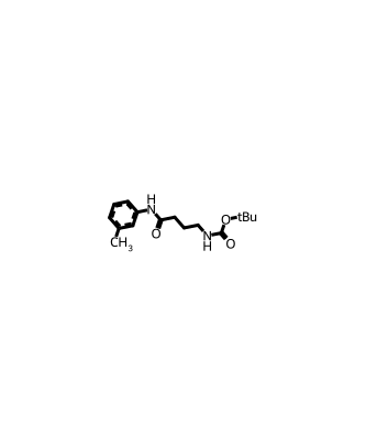 Cc1cccc(NC(=O)CCCNC(=O)OC(C)(C)C)c1